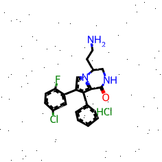 Cl.NCCC1CNC(=O)c2c(-c3ccccc3)c(-c3cc(Cl)ccc3F)cn21